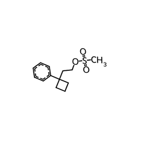 CS(=O)(=O)OCCC1(c2ccccc2)CCC1